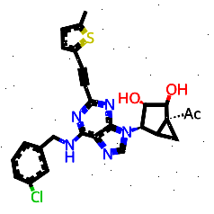 CC(=O)[C@]12CC1[C@@H](n1cnc3c(NCc4cccc(Cl)c4)nc(C#Cc4ccc(C)s4)nc31)[C@H](O)C2O